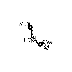 COc1ccc(CCCCn2nc(/C=C/c3ccc(-n4cnc(C)c4)c(OC)c3)nc2O)cc1